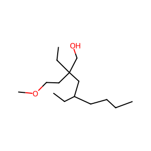 CCCCC(CC)CC(CC)(CO)CCOC